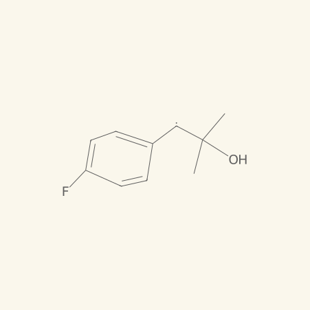 CC(C)(O)[CH]c1ccc(F)cc1